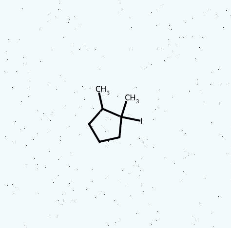 CC1CCCC1(C)I